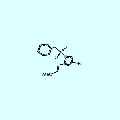 COC=Cc1cc(Br)cn1S(=O)(=O)Cc1ccccc1